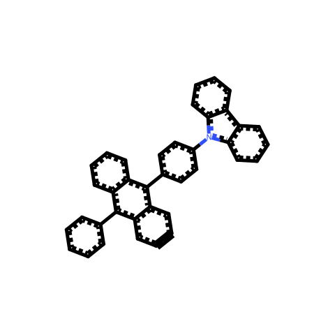 c1cc2c(-c3ccccc3)c3ccccc3c(-c3ccc(-n4c5ccccc5c5ccccc54)cc3)c2cc#1